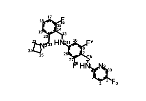 Fc1ccc(NSc2c(F)cc(NCc3c(F)cccc3CN3CCC3)cc2F)nc1